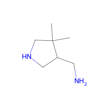 CC1(C)CNCC1CN